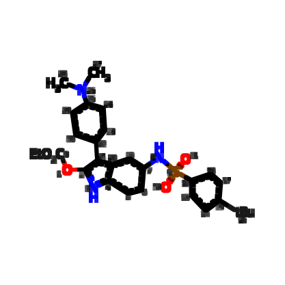 CCOC(=O)Oc1[nH]c2ccc(NS(=O)(=O)c3ccc(C(C)(C)C)cc3)cc2c1-c1ccc(N(C)C)cc1